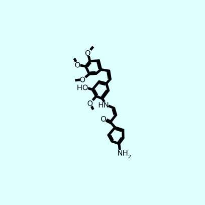 COc1cc(/C=C\c2cc(O)c(OC)c(N/C=C\C(=O)c3ccc(N)cc3)c2)cc(OC)c1OC